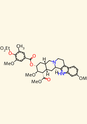 CCOC(=O)Oc1c(C)cc(C(=O)O[C@@H]2C[C@@H]3CN4CCc5c([nH]c6cc(OC)ccc56)[C@H]4C[C@@H]3[C@H](C(=O)OC)[C@H]2OC)cc1OC